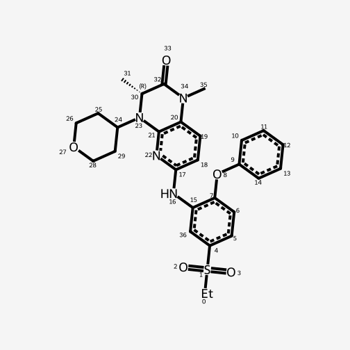 CCS(=O)(=O)c1ccc(Oc2ccccc2)c(Nc2ccc3c(n2)N(C2CCOCC2)[C@H](C)C(=O)N3C)c1